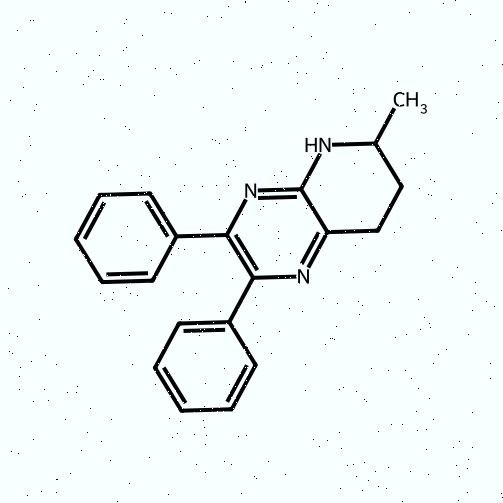 CC1CCc2nc(-c3ccccc3)c(-c3ccccc3)nc2N1